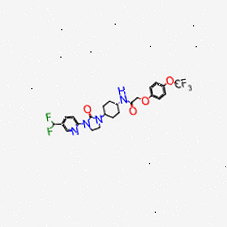 O=C(COc1ccc(OC(F)(F)F)cc1)N[C@H]1CC[C@H](N2CCN(c3ccc(C(F)F)cn3)C2=O)CC1